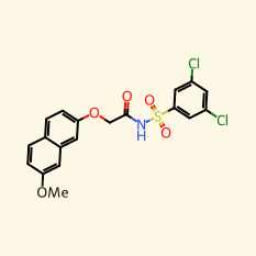 COc1ccc2ccc(OCC(=O)NS(=O)(=O)c3cc(Cl)cc(Cl)c3)cc2c1